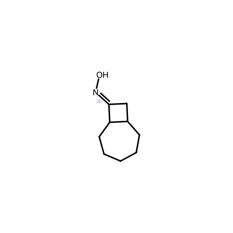 O/N=C1\CC2CCCCCC12